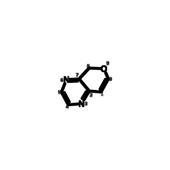 C1=Cc2nccnc2CO1